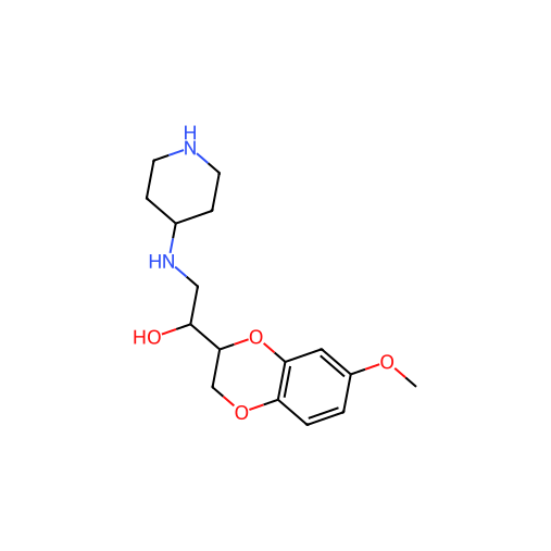 COc1ccc2c(c1)OC(C(O)CNC1CCNCC1)CO2